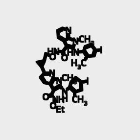 CCONC(=O)c1c(Nc2ccc(I)cc2C)n(C)c2nc(C3CC3CONC(=O)c3c(Nc4ccc(I)cc4C)n(C)c4ncccc34)ccc12